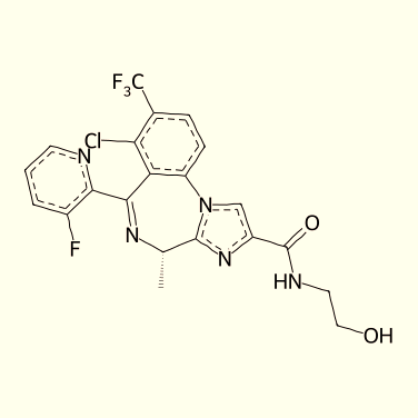 C[C@@H]1N=C(c2ncccc2F)c2c(ccc(C(F)(F)F)c2Cl)-n2cc(C(=O)NCCO)nc21